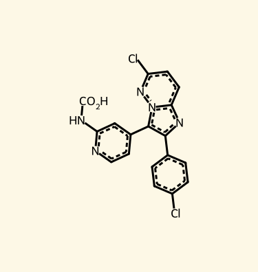 O=C(O)Nc1cc(-c2c(-c3ccc(Cl)cc3)nc3ccc(Cl)nn23)ccn1